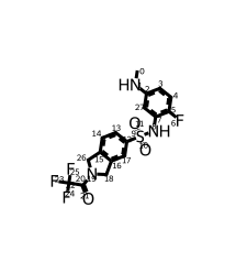 CNc1ccc(F)c(NS(=O)(=O)c2ccc3c(c2)CN(C(=O)C(F)(F)F)C3)c1